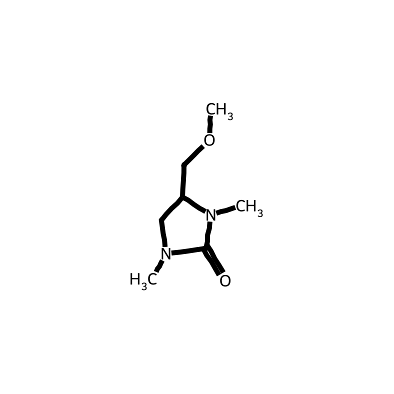 COCC1CN(C)C(=O)N1C